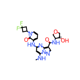 CNc1cc(Nc2cccn(C3CC(F)(F)C3)c2=O)nc2c(C(=O)NC3COC[C@@H]3O)cnn12